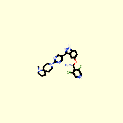 CN1CCCC12CCN(c1ncc(-c3n[nH]c4ccc(O[C@H](N)c5c(Cl)cncc5Cl)cc34)cn1)CC2